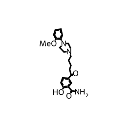 COc1ccccc1N1CCN(CCCCC(=O)c2ccc(O)c(C(N)=O)c2)CC1